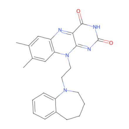 Cc1cc2nc3c(=O)[nH]c(=O)nc-3n(CCN3CCCCc4ccccc43)c2cc1C